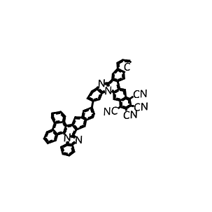 N#Cc1c(C#N)c(C#N)c2cc3c(cc2c1C#N)c1cc2ccccc2cc1c1nc2ccc(-c4ccc5cc6c(cc5c4)c4c5ccccc5c5ccccc5c4n4c5ccccc5nc64)cc2n31